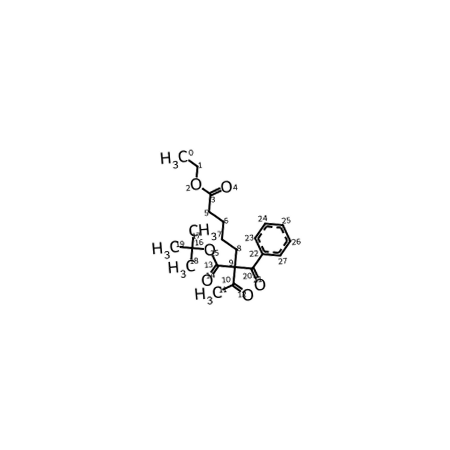 CCOC(=O)CCCCC(C(C)=O)(C(=O)OC(C)(C)C)C(=O)c1ccccc1